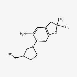 CC1(C)Cc2cc(N)c(N3CC[C@@H](CO)C3)cc2O1